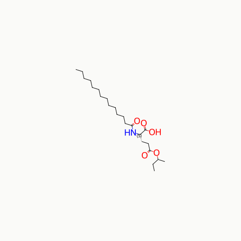 CCCCCCCCCCCCCC(=O)N[C@@H](CCC(=O)OC(C)CC)C(=O)O